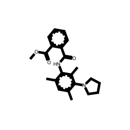 COC(=O)c1ccccc1C(=O)Nc1c(C)cc(C)c(N2CCCC2)c1C